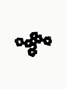 c1ccc(CNc2nc(-c3cncnc3)nc3cccc(-c4cccc(N5CCOCC5)c4)c23)nc1